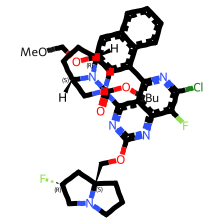 COCOc1cc(-c2nc(Cl)c(F)c3nc(OC[C@@]45CCCN4C[C@H](F)C5)nc(N4C[C@H]5CC[C@@H](C4)N5C(=O)OC(C)(C)C)c23)c2ccccc2c1